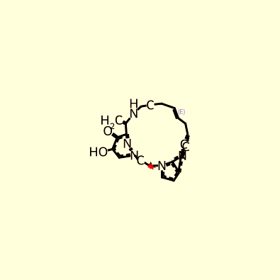 C=C1NCCC/C=C/Cc2cnc3c(ccn3C3(CCCC3)Cn3cc(O)c(=O)c1n3)c2